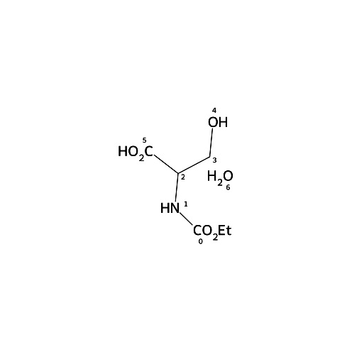 CCOC(=O)NC(CO)C(=O)O.O